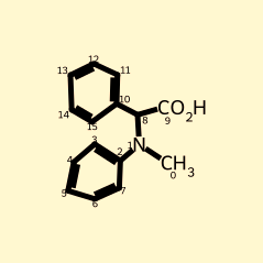 CN(c1ccccc1)C(C(=O)O)c1ccccc1